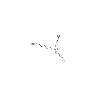 CCCCCCCCCCCCCCCC[N+]([O-])(OCCCO)OCCCO